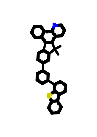 CC1(C)c2cc(-c3cccc(-c4cccc5c4sc4ccccc45)c3)ccc2-c2c1c1cccnc1c1ccccc21